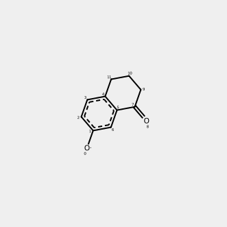 [O]c1ccc2c(c1)C(=O)CCC2